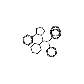 c1ccc([C@H]2CC[C@H](c3ccccc3)P2N(C2CCCCC2)P(c2ccccc2)c2ccccc2)cc1